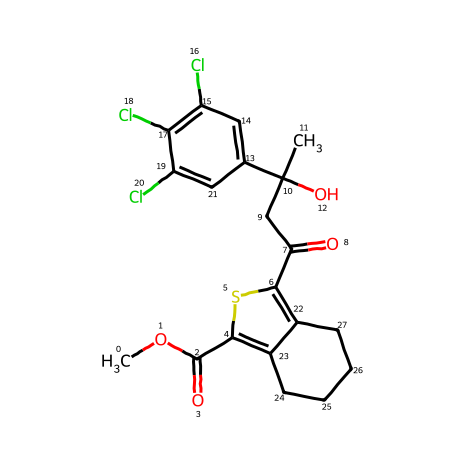 COC(=O)c1sc(C(=O)CC(C)(O)c2cc(Cl)c(Cl)c(Cl)c2)c2c1CCCC2